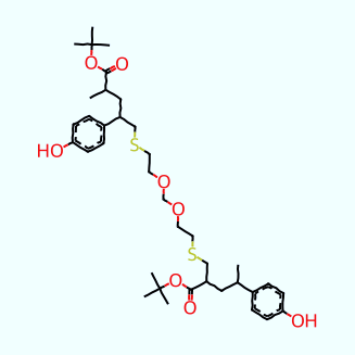 CC(CC(CSCCOCOCCSCC(CC(C)c1ccc(O)cc1)C(=O)OC(C)(C)C)c1ccc(O)cc1)C(=O)OC(C)(C)C